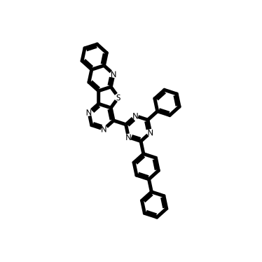 c1ccc(-c2ccc(-c3nc(-c4ccccc4)nc(-c4ncnc5c4sc4nc6ccccc6cc45)n3)cc2)cc1